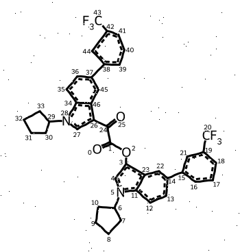 O=C(Oc1cn(C2CCCC2)c2ccc(-c3cccc(C(F)(F)F)c3)cc12)C(=O)c1cn(C2CCCC2)c2ccc(-c3cccc(C(F)(F)F)c3)cc12